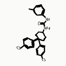 Cc1cccc(NC(=O)NC2CCC(c3ccc(Cl)cc3)(c3ccc(Cl)cc3)CC2)c1